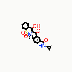 CN1C(C(=O)c2cccc(C(=O)NC3CC3)c2)=C(O)c2ccccc2S1(=O)=O